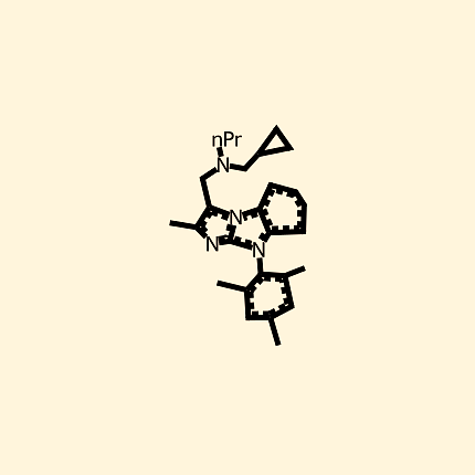 CCCN(Cc1c(C)nc2n(-c3c(C)cc(C)cc3C)c3ccccc3n12)CC1CC1